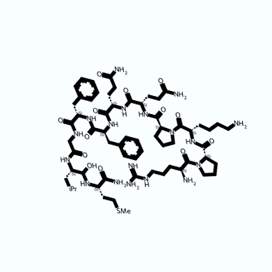 CSCC[C@H](NC(O)[C@H](CC(C)C)NC(=O)CNC(=O)[C@H](Cc1ccccc1)NC(=O)[C@H](Cc1ccccc1)NC(=O)[C@H](CCC(N)=O)NC(=O)[C@H](CCC(N)=O)NC(=O)[C@@H]1CCCN1C(=O)[C@H](CCCCN)NC(=O)[C@@H]1CCCN1C(=O)[C@@H](N)CCCNC(=N)N)C(N)=O